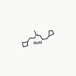 CN[C@@H](CC1CCC1)CN(C)CCC1CCC1